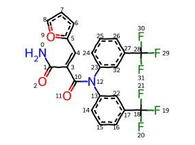 NC(=O)C(=Cc1ccco1)C(=O)N(c1cccc(C(F)(F)F)c1)c1cccc(C(F)(F)F)c1